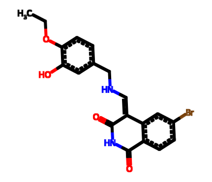 CCOc1ccc(CN/C=C2\C(=O)NC(=O)c3ccc(Br)cc32)cc1O